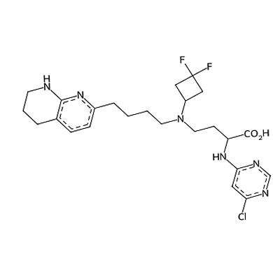 O=C(O)C(CCN(CCCCc1ccc2c(n1)NCCC2)C1CC(F)(F)C1)Nc1cc(Cl)ncn1